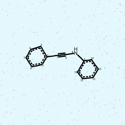 C(#Cc1ccccc1)Nc1ccccc1